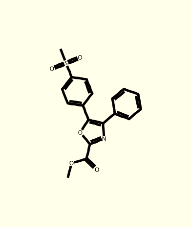 COC(=O)c1nc(-c2ccccc2)c(-c2ccc(S(C)(=O)=O)cc2)o1